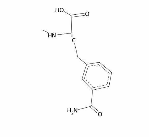 CN[C@@H](CCc1cccc(C(N)=O)c1)C(=O)O